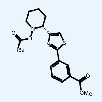 COC(=O)c1cccc(-c2nc([C@H]3CCCCN3OC(=O)C(C)(C)C)cs2)c1